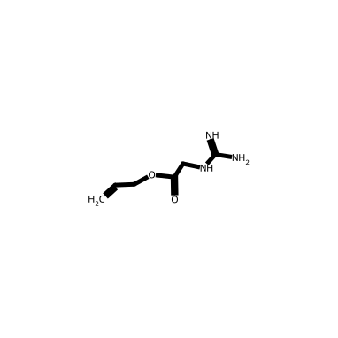 C=CCOC(=O)CNC(=N)N